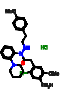 COc1ccc(CCNN(C(=O)Cc2cc(OC)c(C(=O)O)cc2Br)c2ccccc2N2CCCCC2)cc1.Cl